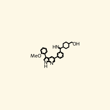 COc1ccccc1-c1c[nH]c2ncc(-c3cccc(C(=N)C4CCC(CO)CC4)c3)cc12